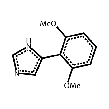 COc1cccc(OC)c1-c1cnc[nH]1